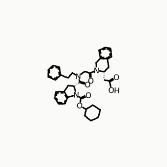 O=C(O)C[C@H]1Cc2ccccc2CN1C(=O)CN(CCc1ccccc1)C(=O)[C@H]1Cc2ccccc2N1C(=O)OC1CCCCC1